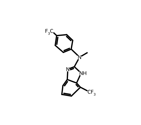 CN(c1ccc(C(F)(F)F)cc1)c1nc2cccc(C(F)(F)F)c2[nH]1